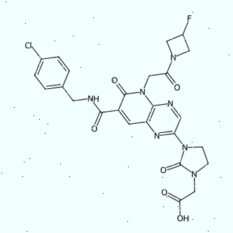 O=C(O)CN1CCN(c2cnc3c(cc(C(=O)NCc4ccc(Cl)cc4)c(=O)n3CC(=O)N3CC(F)C3)n2)C1=O